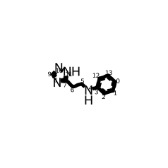 c1ccc(NCCc2ncn[nH]2)cc1